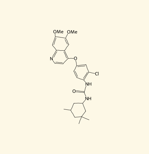 COc1cc2nccc(Oc3ccc(NC(=O)NC4CC(C)CC(C)(C)C4)c(Cl)c3)c2cc1OC